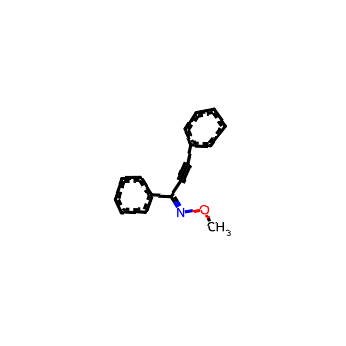 CO/N=C(\C#Cc1ccccc1)c1ccccc1